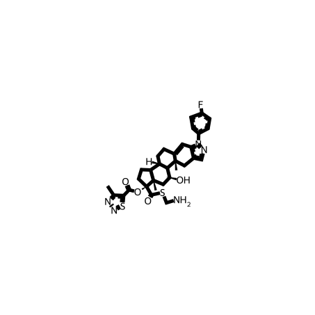 Cc1nnsc1C(=O)O[C@]1(C(=O)SCN)CCC2[C@@H]3CCC4=Cc5c(cnn5-c5ccc(F)cc5)C[C@]4(C)C3[C@@H](O)C[C@@]21C